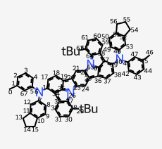 Cc1cccc(N(c2ccc3c(c2)CCC3)c2ccc3c4cc5c(cc4n4c6c(C(C)(C)C)cccc6c2c34)c2ccc(N(c3cccc(C)c3)c3ccc4c(c3)CCC4)c3c4cccc(C(C)(C)C)c4n5c23)c1